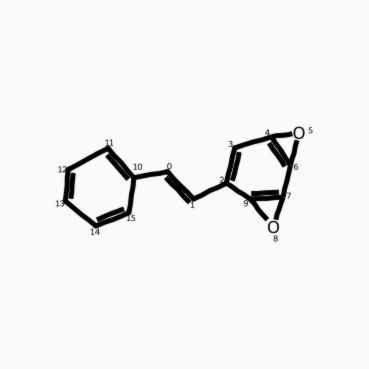 C(=Cc1cc2oc2c2oc12)c1ccccc1